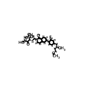 COCCN(C)Cc1ccc(-c2ccc3c(=O)n(CC[C@H](C(=O)NO)S(C)(=O)=O)ccc3c2)c(F)c1